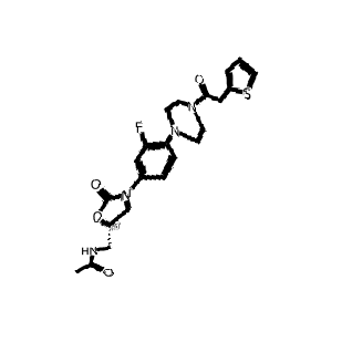 CC(=O)NC[C@H]1CN(c2ccc(N3CCN(C(=O)Cc4cccs4)CC3)c(F)c2)C(=O)O1